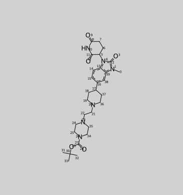 Cn1c(=O)n(C2CCC(=O)NC2=O)c2ccc(C3CCN(CCN4CCN(C(=O)OC(C)(C)C)CC4)CC3)cc21